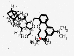 CNC(=O)c1cc(-c2cccc(CN3O[C@@H](CO)[C@@H](C(C)O)[C@H]3C(=O)N[C@H]3C[C@H]4C[C@@H]([C@@H]3C)C4(C)C)c2OCCN(C)C)cc(N(C)C)c1